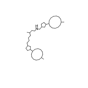 CC1CCCCCC(C2CCC(CCCCC(C)CCNCC3CCC(C4CCCCCCC(C)CCCCC4)C3)C2)CCCCC1